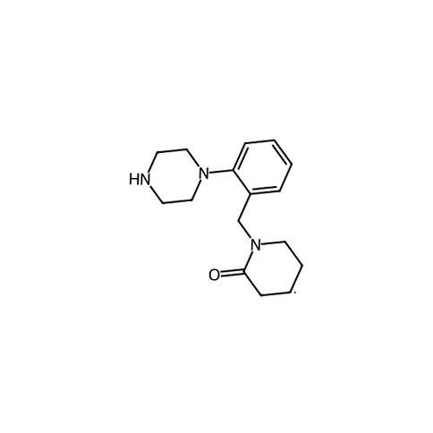 O=C1C[CH]CCN1Cc1ccccc1N1CCNCC1